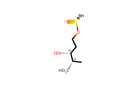 B=S(#P)OCC[C@@H](O)[C@H](C)C(=O)O